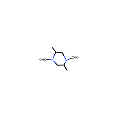 CC1CN(C=O)C(C)CN1C=O